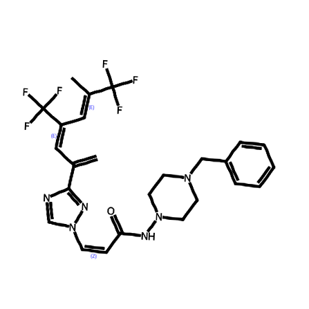 C=C(/C=C(\C=C(/C)C(F)(F)F)C(F)(F)F)c1ncn(/C=C\C(=O)NN2CCN(Cc3ccccc3)CC2)n1